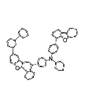 c1ccc(-c2cccc(-c3ccc4oc5c6ccccc6c(-c6ccc(N(c7ccccc7)c7ccc(-c8cccc9c8oc8ccccc89)cc7)cc6)cc5c4c3)c2)cc1